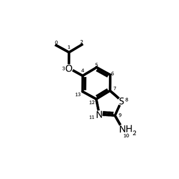 CC(C)Oc1ccc2sc(N)nc2c1